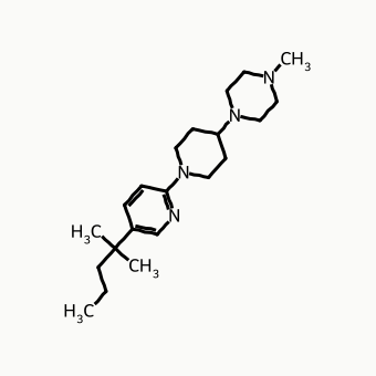 CCCC(C)(C)c1ccc(N2CCC(N3CCN(C)CC3)CC2)nc1